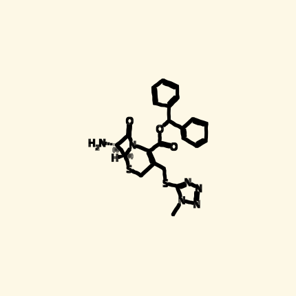 Cn1nnnc1SCC1=C(C(=O)OC(c2ccccc2)c2ccccc2)N2C(=O)[C@@H](N)[C@H]2SC1